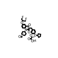 C[C@H](Oc1cc(Cn2c(=O)c3cc(OC(CF)CF)ccc3n(C3CCN(C=O)CC3)c2=O)ccc1OC1CCCC1)C(=O)O